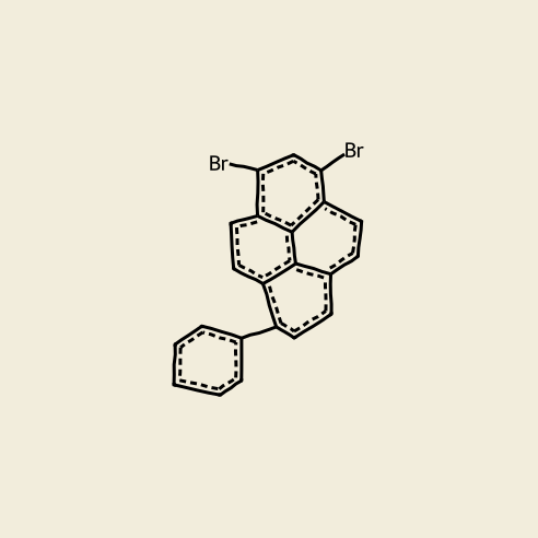 Brc1cc(Br)c2ccc3c(-c4ccccc4)ccc4ccc1c2c43